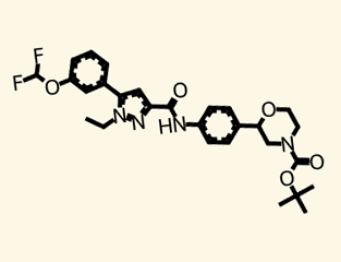 CCn1nc(C(=O)Nc2ccc(C3CN(C(=O)OC(C)(C)C)CCO3)cc2)cc1-c1cccc(OC(F)F)c1